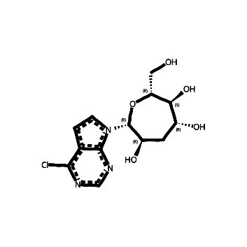 OC[C@H]1O[C@@H](n2ccc3c(Cl)ncnc32)[C@H](O)C[C@@H](O)[C@@H]1O